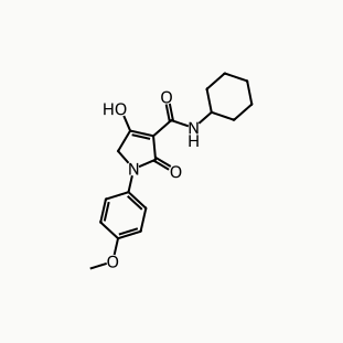 COc1ccc(N2CC(O)=C(C(=O)NC3CCCCC3)C2=O)cc1